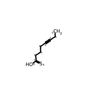 CCC#CCCCC(O)=S